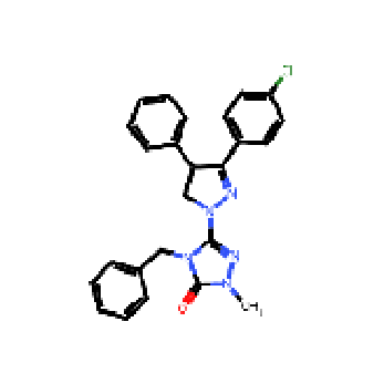 Cn1nc(N2CC(c3ccccc3)C(c3ccc(Cl)cc3)=N2)n(Cc2ccccc2)c1=O